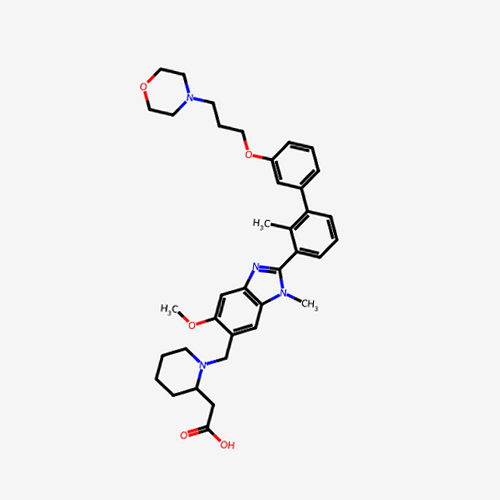 COc1cc2nc(-c3cccc(-c4cccc(OCCCN5CCOCC5)c4)c3C)n(C)c2cc1CN1CCCCC1CC(=O)O